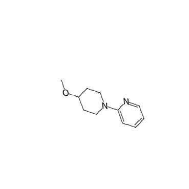 COC1CCN(c2ccccn2)CC1